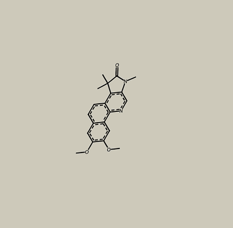 COc1cc2ccc3c4c(cnc3c2cc1OC)N(C)C(=O)C4(C)C